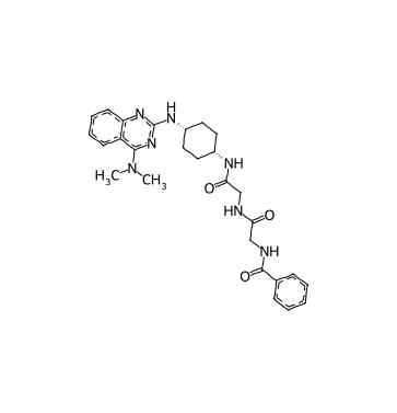 CN(C)c1nc(N[C@H]2CC[C@@H](NC(=O)CNC(=O)CNC(=O)c3ccccc3)CC2)nc2ccccc12